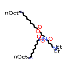 CCCCCCCC/C=C\CCCCCCCC(=O)OCC(CNC(=O)CCCN(CC)CC)OC(=O)CCCCCCC/C=C\CCCCCCCC